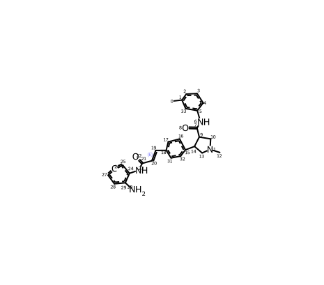 Cc1cccc(NC(=O)C2CN(C)CC2c2ccc(/C=C/C(=O)Nc3ccccc3N)cc2)c1